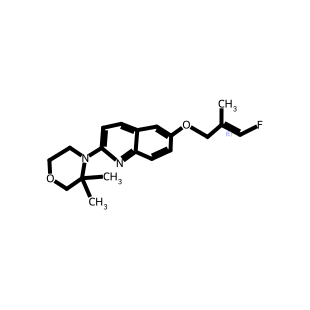 C/C(=C\F)COc1ccc2nc(N3CCOCC3(C)C)ccc2c1